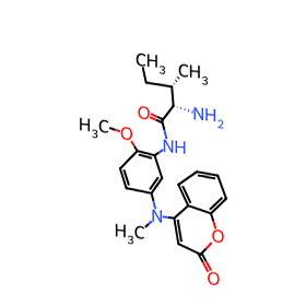 CC[C@H](C)[C@H](N)C(=O)Nc1cc(N(C)c2cc(=O)oc3ccccc23)ccc1OC